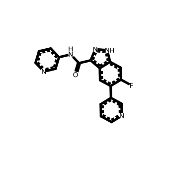 O=C(Nc1cccnc1)c1n[nH]c2cc(F)c(-c3cccnc3)cc12